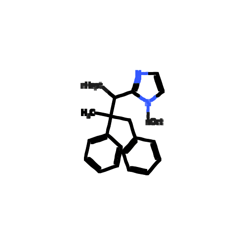 CCCCCCCCn1ccnc1C(CCCCCCC)C(C)(Cc1ccccc1)c1ccccc1